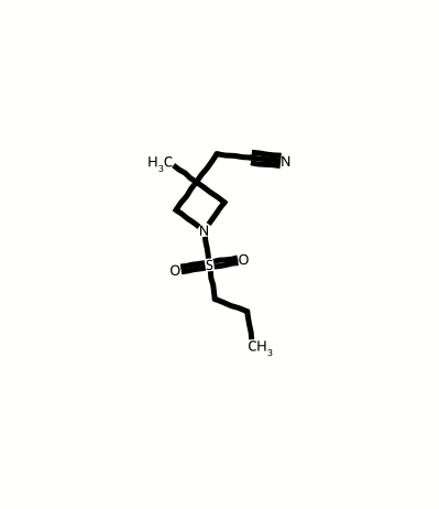 CCCS(=O)(=O)N1CC(C)(CC#N)C1